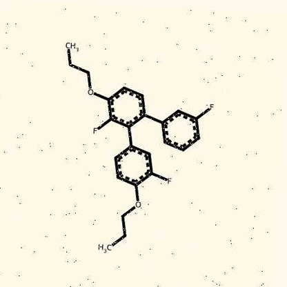 CCCOc1ccc(-c2c(-c3cccc(F)c3)ccc(OCCC)c2F)cc1F